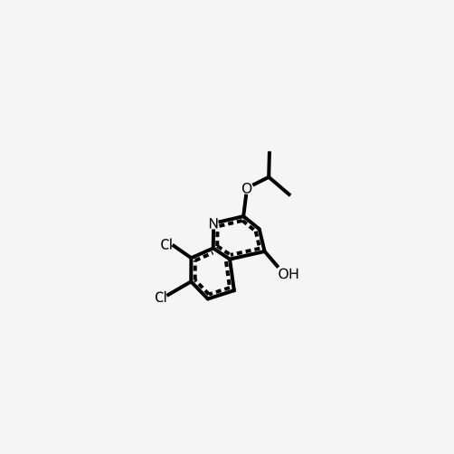 CC(C)Oc1cc(O)c2ccc(Cl)c(Cl)c2n1